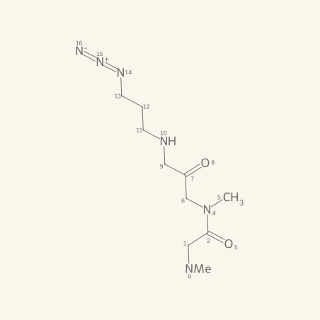 CNCC(=O)N(C)CC(=O)CNCCCN=[N+]=[N-]